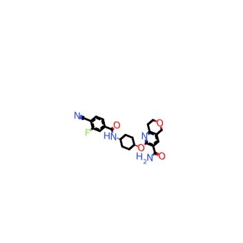 N#Cc1ccc(C(=O)N[C@H]2CC[C@H](Oc3nc4c(cc3C(N)=O)COCC4)CC2)cc1F